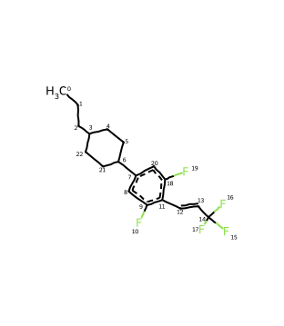 CCCC1CCC(c2cc(F)c(/C=C/C(F)(F)F)c(F)c2)CC1